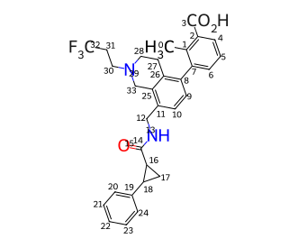 Cc1c(C(=O)O)cccc1-c1ccc(CNC(=O)C2CC2c2ccccc2)c2c1CCN(CCC(F)(F)F)C2